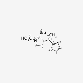 CN(c1nccs1)C1CCN(C(=O)O)C1C(C)(C)C